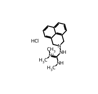 CNC(NN1Cc2cccc3cccc(c23)C1)=[N+](C)C.Cl